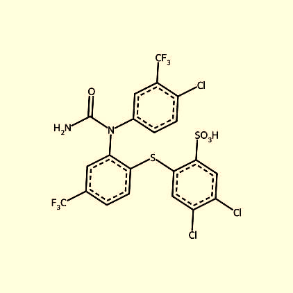 NC(=O)N(c1ccc(Cl)c(C(F)(F)F)c1)c1cc(C(F)(F)F)ccc1Sc1cc(Cl)c(Cl)cc1S(=O)(=O)O